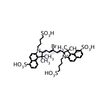 CC1(C)C(/C=C/C(Br)=C/C=C2/N(CCCCS(=O)(=O)O)c3ccc4c(S(=O)(=O)O)cccc4c3C2(C)C)=[N+](CCCCS(=O)(=O)O)c2ccc3ccc(S(=O)(=O)O)cc3c21